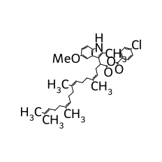 COc1ccc2[nH]c(C)c(C(CC=C(C)CCC=C(C)CCC=C(C)CCC=C(C)C)C(=O)OC(=O)c3ccc(Cl)cc3)c2c1